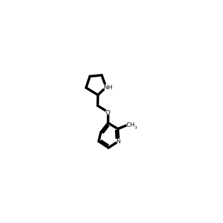 Cc1ncccc1OCC1CCCN1